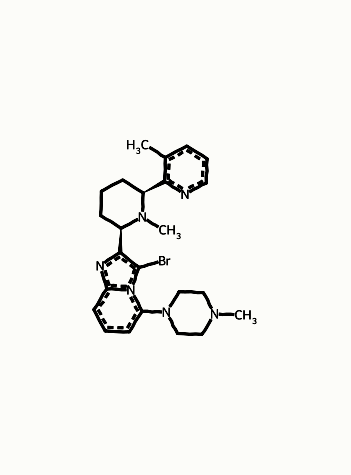 Cc1cccnc1[C@@H]1CCC[C@H](c2nc3cccc(N4CCN(C)CC4)n3c2Br)N1C